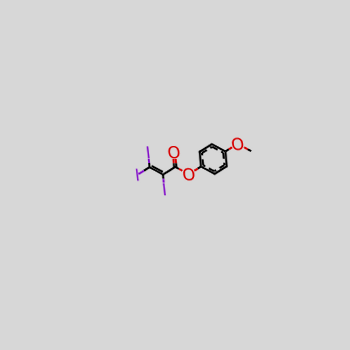 COc1ccc(OC(=O)C(I)=C(I)I)cc1